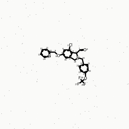 O=CC1c2c(Cl)cc(OCc3ccccn3)cc2CN1Cc1ccc(OC(F)(F)F)cc1